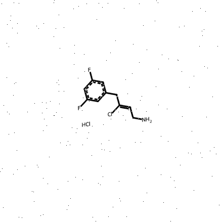 Cl.NCC=C(Cl)Cc1cc(F)cc(F)c1